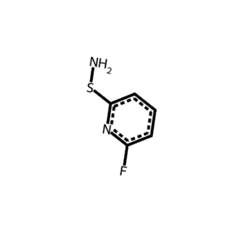 NSc1cccc(F)n1